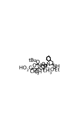 CCC(=O)N[C@@H]1Cc2ccccc2N(C(=O)CC(C)(C)C[C@H](NC(=O)OC(C)(C)C)[C@@H](O)C[C@@H](C)C(=O)O)C1